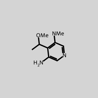 CNc1cncc(N)c1C(C)OC